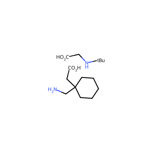 CC(C)(C)NCC(=O)O.NCC1(CC(=O)O)CCCCC1